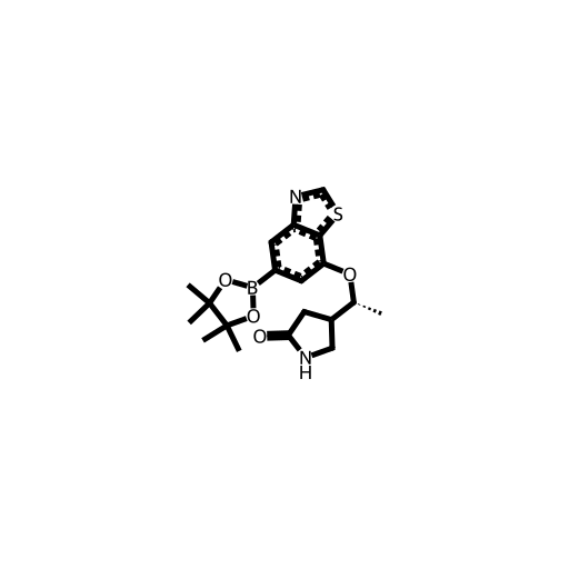 C[C@@H](Oc1cc(B2OC(C)(C)C(C)(C)O2)cc2ncsc12)C1CNC(=O)C1